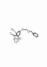 CC(C)c1cc(OCCOCc2ccccc2)cc2c1C(=O)N(CCl)S2(=O)=O